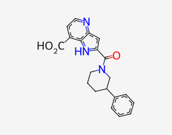 O=C(O)c1ccnc2cc(C(=O)N3CCCC(c4ccccc4)C3)[nH]c12